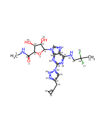 CNC(=O)C1OC(n2cnc3c(NCC(C)(F)F)nc(-n4cc(CC5CC5)nn4)nc32)[C@H](O)[C@@H]1O